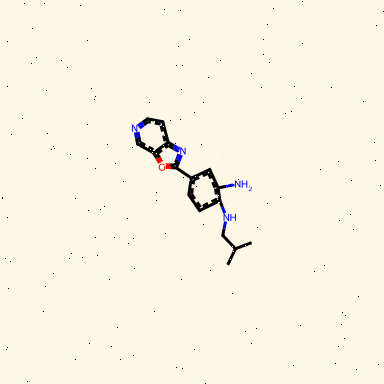 CC(C)CNc1ccc(-c2nc3ccncc3o2)cc1N